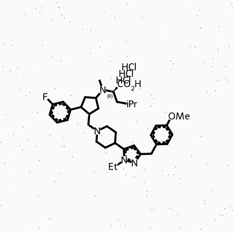 CCn1nc(Cc2ccc(OC)cc2)cc1C1CCN(CC2CC(N(C)[C@H](CC(C)C)C(=O)O)CC2c2cccc(F)c2)CC1.Cl.Cl.Cl